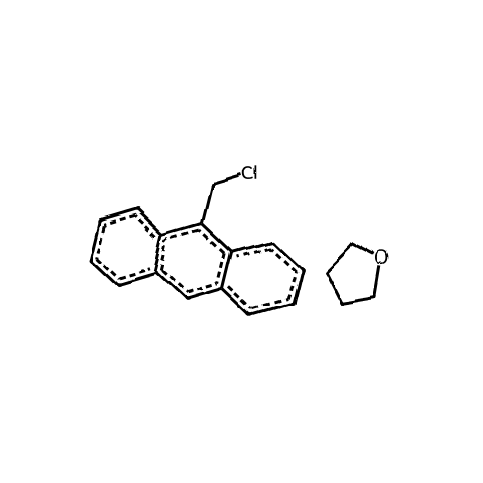 C1CCOC1.ClCc1c2ccccc2cc2ccccc12